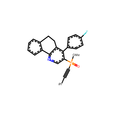 COP(=O)(C#CC(C)C)c1cnc2c(c1-c1ccc(F)cc1)CCc1ccccc1-2